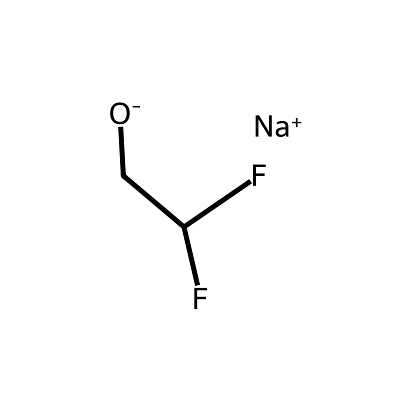 [Na+].[O-]CC(F)F